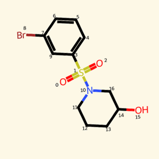 O=S(=O)(c1cccc(Br)c1)N1CCCC(O)C1